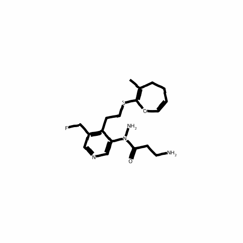 CC1=C(SCCc2c(CF)cncc2N(N)C(=O)CCN)OC=CCC1